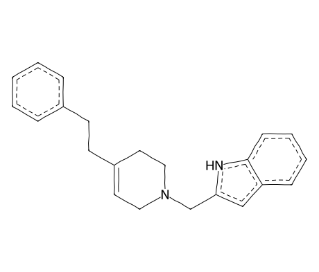 C1=C(CCc2ccccc2)CCN(Cc2cc3ccccc3[nH]2)C1